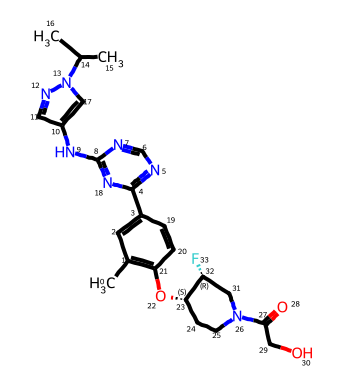 Cc1cc(-c2ncnc(Nc3cnn(C(C)C)c3)n2)ccc1O[C@H]1CCN(C(=O)CO)C[C@H]1F